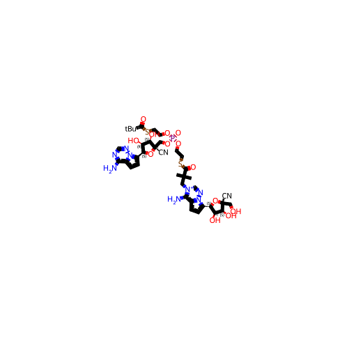 CC(C)(C)C(=O)SCCOP(=O)(OCCSC(=O)C(C)(C)C[n+]1cnn2c([C@@H]3O[C@](C#N)(CO)[C@@H](O)[C@H]3O)ccc2c1N)OC[C@@]1(C#N)O[C@@H](c2ccc3c(N)ncnn23)[C@H](O)[C@@H]1O